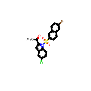 COC(=O)c1cc2cc(Cl)ccc2n1S(=O)(=O)c1ccc2cc(Br)ccc2c1